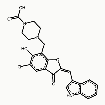 O=C1C(=Cc2c[nH]c3ccccc23)Oc2c1cc(Cl)c(O)c2CN1CCN(C(=O)O)CC1